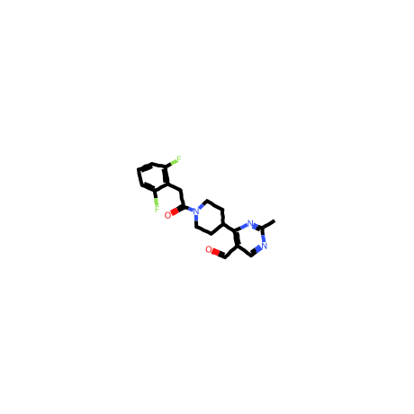 Cc1ncc(C=O)c(C2CCN(C(=O)Cc3c(F)cccc3F)CC2)n1